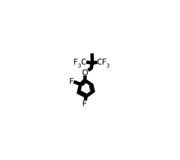 CC(COc1ccc(F)cc1F)(C(F)(F)F)C(F)(F)F